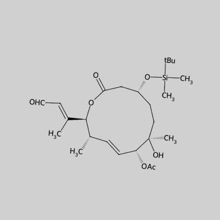 CC(=O)O[C@@H]1/C=C/[C@H](C)[C@@H](/C(C)=C/C=O)OC(=O)C[C@H](O[Si](C)(C)C(C)(C)C)CC[C@@]1(C)O